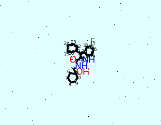 O=C(NCC1(O)CCCCC1)c1[nH]c2ccc(F)cc2c1-c1ccccc1